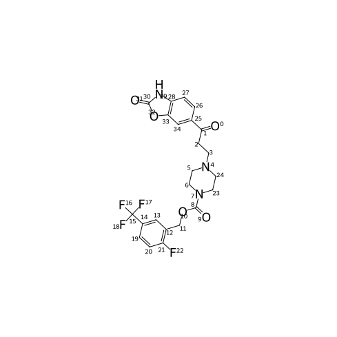 O=C(CCN1CCN(C(=O)OCc2cc(C(F)(F)F)ccc2F)CC1)c1ccc2[nH]c(=O)oc2c1